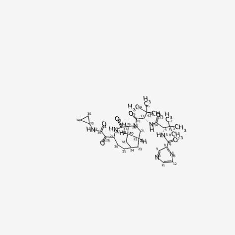 CC(C)(C)[C@H](NC(=O)c1cnccn1)C(=O)N[C@H](C(=O)N1C[C@@H]2CC3CCC(C(=O)C(=O)NC4CC4)NC(=O)[C@@H]1[C@H]2C3)C(C)(C)C